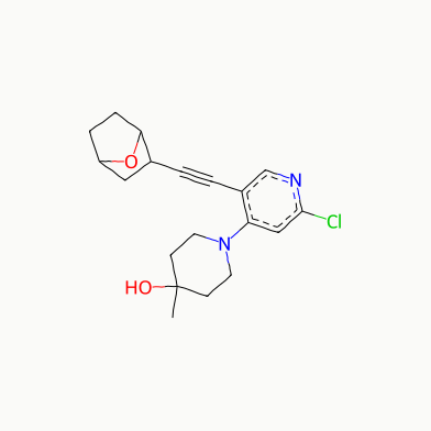 CC1(O)CCN(c2cc(Cl)ncc2C#CC2CC3CCC2O3)CC1